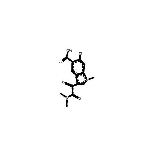 CN(C)C(=O)C(=O)c1cn(C)c2cc(Cl)c(C(=O)O)cc12